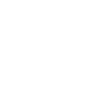 Cc1cc2cccnn2c1